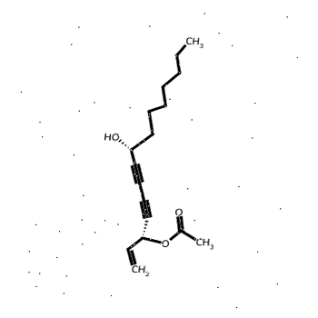 C=C[C@H](C#CC#C[C@H](O)CCCCCCC)OC(C)=O